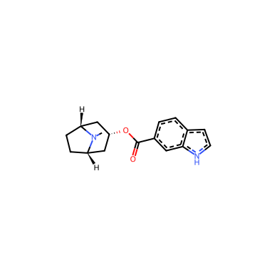 CN1[C@@H]2CC[C@H]1C[C@@H](OC(=O)c1ccc3cc[nH]c3c1)C2